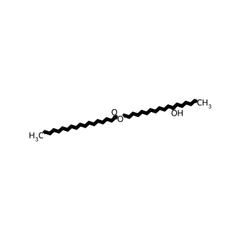 CCCCCCCCCCCCCCCCCC(=O)OCCCCCCCCCCCC(O)CCCCCC